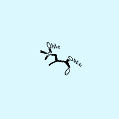 COC(=O)C(C)C[Si](C)(C)OC